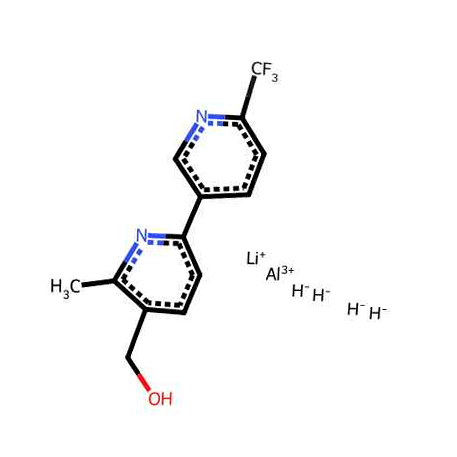 Cc1nc(-c2ccc(C(F)(F)F)nc2)ccc1CO.[Al+3].[H-].[H-].[H-].[H-].[Li+]